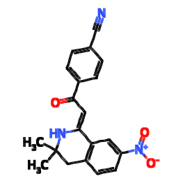 CC1(C)Cc2ccc([N+](=O)[O-])cc2C(=CC(=O)c2ccc(C#N)cc2)N1